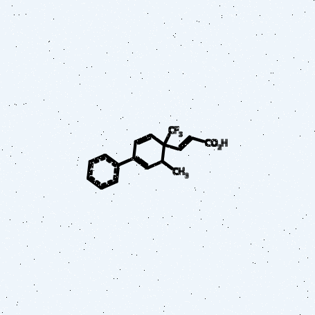 CC1C=C(c2ccccc2)C=CC1(C=CC(=O)O)C(F)(F)F